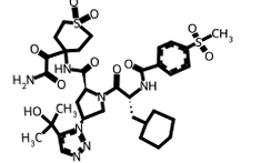 CC(C)(O)c1cnnn1[C@H]1C[C@@H](C(=O)NC2(C(=O)C(N)=O)CCS(=O)(=O)CC2)N(C(=O)[C@@H](CC2CCCCC2)NC(=O)c2ccc(S(C)(=O)=O)cc2)C1